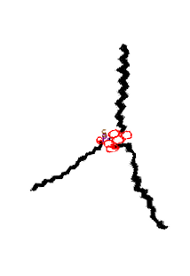 CCCCCCCCCCCCCCCCCC(=O)OC(OC(=O)CCCCCCCCCCCCCCCCC)(OC(=O)CCCCCCCCCCCCCCCCC)P=S